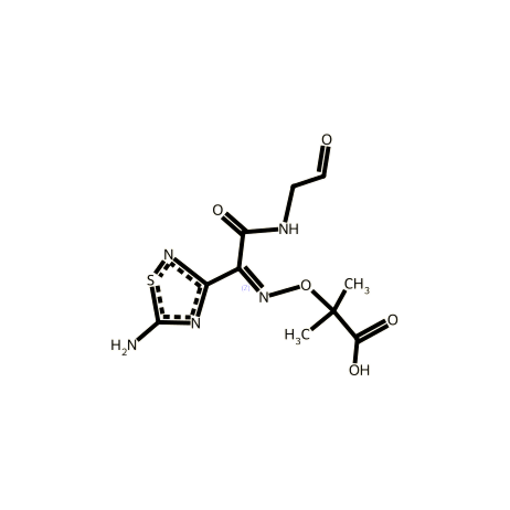 CC(C)(O/N=C(\C(=O)NCC=O)c1nsc(N)n1)C(=O)O